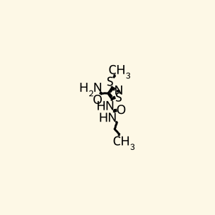 CCCCNC(=O)Nc1snc(SCC)c1C(N)=O